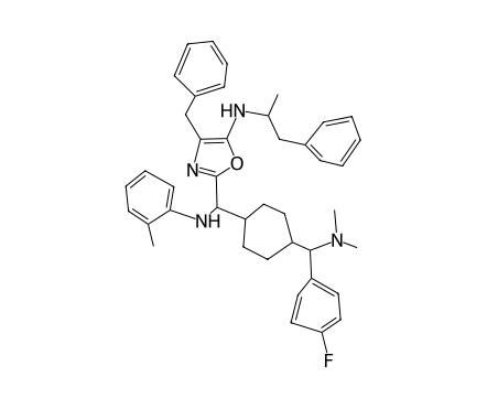 Cc1ccccc1NC(c1nc(Cc2ccccc2)c(NC(C)Cc2ccccc2)o1)C1CCC(C(c2ccc(F)cc2)N(C)C)CC1